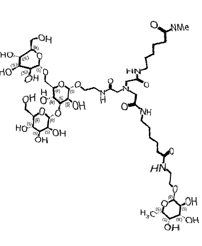 CNC(=O)CCCCCNC(=O)CN(CC(=O)NCCCCCC(=O)NCCO[C@@H]1O[C@@H](C)[C@@H](O)[C@@H](O)[C@@H]1O)CC(=O)NCCO[C@H]1O[C@H](CO[C@H]2O[C@H](CO)[C@@H](O)[C@H](O)[C@@H]2O)[C@@H](O)[C@H](O[C@H]2O[C@H](CO)[C@@H](O)[C@H](O)[C@@H]2O)[C@@H]1O